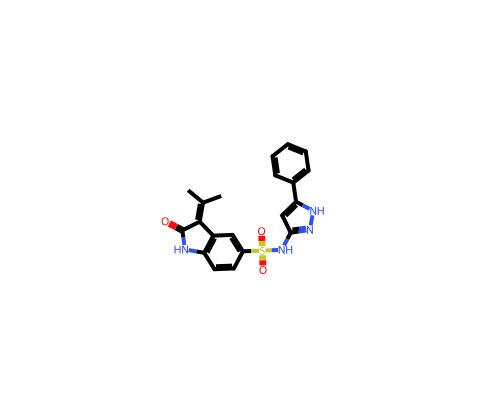 CC(C)=C1C(=O)Nc2ccc(S(=O)(=O)Nc3cc(-c4ccccc4)[nH]n3)cc21